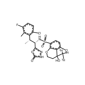 [2H]C([2H])([2H])C1(O)CCOc2c(S(=O)(=O)N[C@H](c3n[nH]c(=O)o3)[C@H](C)c3c(Cl)ccc(F)c3C)ccc(Cl)c21